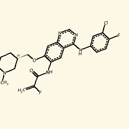 C=C(F)C(=O)Nc1cc2c(Nc3ccc(F)c(Cl)c3)ncnc2cc1OC[C@H]1CCCN(C)C1